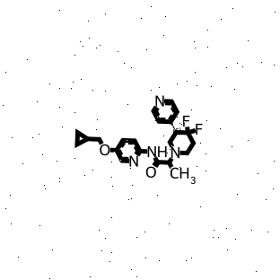 CC(C(=O)Nc1ccc(OCC2CC2)cn1)N1CCC(F)(F)[C@@H](c2ccncc2)C1